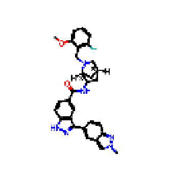 COc1cccc(F)c1CN1C[C@@H]2CC(NC(=O)c3ccc4[nH]nc(-c5ccc6nn(C)cc6c5)c4c3)[C@H]1C2